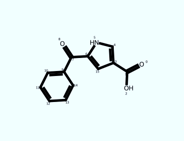 O=C(O)c1c[nH]c(C(=O)c2ccccc2)c1